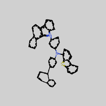 C1=Cc2ccccc2C(c2ccc(N(c3ccc(-n4c5ccccc5c5ccc6ccccc6c54)cc3)c3cccc4c3sc3ccccc34)cc2)C1